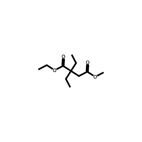 CCOC(=O)C(CC)(CC)CC(=O)OC